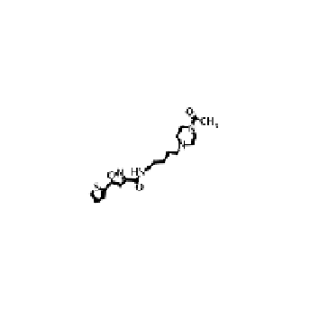 CC(=O)N1CCN(CCCCCNC(=O)c2cc(-c3cccs3)on2)CC1